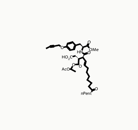 CC#CCOc1ccc(C[C@H](NC(=O)[C@@H](/C=C/CCCCCCC(=O)CCCCC)[C@@H](CC(=O)O)C(=O)OC(C)OC(C)=O)C(=O)OC)cc1